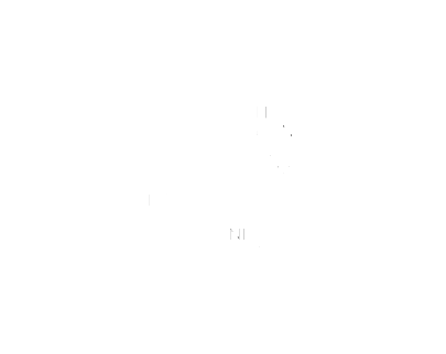 COc1ccc(S(=O)(=O)NO)cc1N